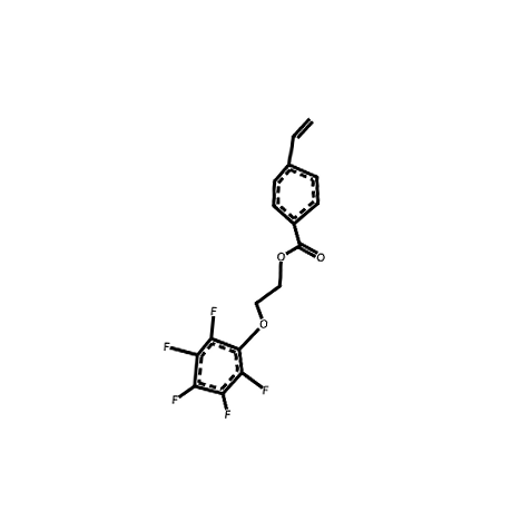 C=Cc1ccc(C(=O)OCCOc2c(F)c(F)c(F)c(F)c2F)cc1